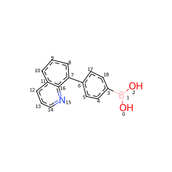 OB(O)c1ccc(-c2cccc3cccnc23)cc1